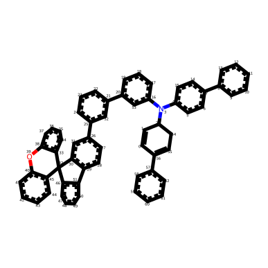 C1=CC(N(c2ccc(-c3ccccc3)cc2)c2cccc(-c3cccc(-c4ccc5c(c4)C4(c6ccccc6Oc6ccccc64)c4ccccc4-5)c3)c2)CC=C1c1ccccc1